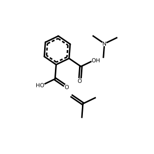 C=C(C)C.CN(C)C.O=C(O)c1ccccc1C(=O)O